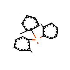 Cc1ccccc1[P+](C)(c1ccccc1C)c1ccccc1C.[Br-]